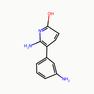 Nc1cccc(-c2ccc(O)nc2N)c1